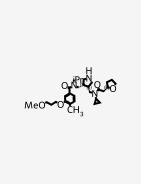 COCCCOc1cc(C(=O)N(C[C@@H]2CNC[C@H]2CN(C(=O)C[C@H]2CCCO2)C2CC2)C(C)C)ccc1C